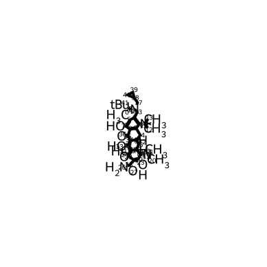 C[C@@H](N(Cc1cc(O)c2c(c1N(C)C)C[C@H]1C[C@H]3[C@H](N(C)C)C(O)=C(C(N)=O)C(=O)[C@@]3(O)C(O)=C1C2=O)CC1CC1)C(C)(C)C